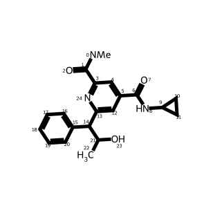 CNC(=O)c1cc(C(=O)NC2CC2)cc(C(c2ccccc2)C(C)O)n1